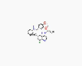 COc1cc(F)c2nccc(NC(=O)O)c2c1.c1cc2c(cc1CNC1CCCCC1)OCCO2